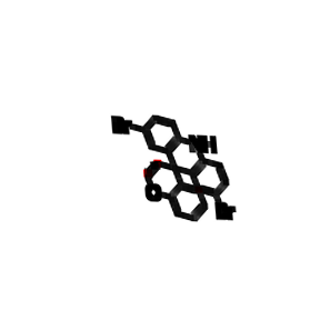 Brc1ccc2c(c1)C1(c3cc(Br)ccc3N2)c2ccccc2Oc2ccccc21